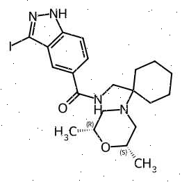 C[C@@H]1CN(C2(CNC(=O)c3ccc4[nH]nc(I)c4c3)CCCCC2)C[C@H](C)O1